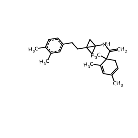 C=C(NC12CC1(CCc1ccc(C)c(C)c1)C2)C1(C)CC=C(C)C=C1C